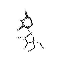 O=c1[nH]c(=S)ccn1[C@@H]1O[C@@](CO)(CF)C(O)[C@@H]1O